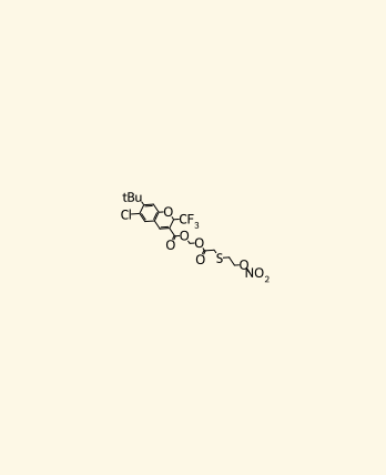 CC(C)(C)c1cc2c(cc1Cl)C=C(C(=O)OCOC(=O)CSCCO[N+](=O)[O-])C(C(F)(F)F)O2